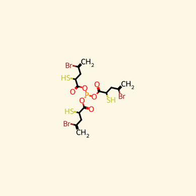 C=C(Br)CC(S)C(=O)OP(OC(=O)C(S)CC(=C)Br)OC(=O)C(S)CC(=C)Br